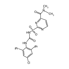 CC(C)c1cc(Cl)cc(C(C)C)c1NC(=O)NS(=O)(=O)c1nccc(C(=O)N(C)C)n1